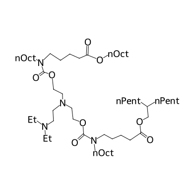 CCCCCCCCOC(=O)CCCCN(CCCCCCCC)C(=O)OCCN(CCOC(=O)N(CCCCCCCC)CCCCC(=O)OCC(CCCCC)CCCCC)CCN(CC)CC